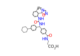 CC(C)c1cccc(NC(=O)NC(c2ccc(C(=O)NCCC(=O)O)cc2)c2ccc(C3CCCCC3)cc2)c1-c1ncno1